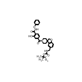 CC(C)(C)OC(=O)NCc1ccc2c(c1)C1(CCN(C(=O)c3ccc(C(=O)NOc4ccccc4)c(O)c3)CC1)CO2